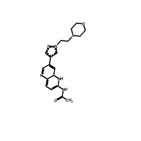 CC(=O)NC1=CC=C2N=CC(c3cnn(CCN4CCOCC4)c3)=CC2N1